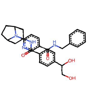 O=C(NCc1ccccc1)c1ccc(N2C3CCC2CC(NC(=O)c2ccc(C(O)CO)cc2)C3)nc1